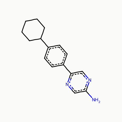 Nc1cnc(-c2ccc(C3CCCCC3)cc2)cn1